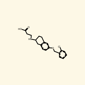 O=C(O)CCNC1CCc2cc(OCc3ccccc3Cl)ccc2C1